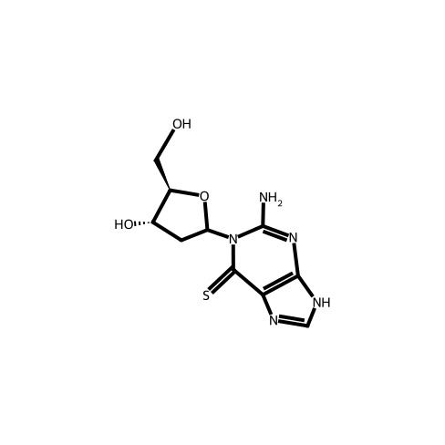 Nc1nc2[nH]cnc2c(=S)n1C1C[C@H](O)[C@@H](CO)O1